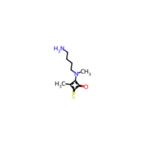 Cc1c(N(C)CCCCN)c(=O)c1=S